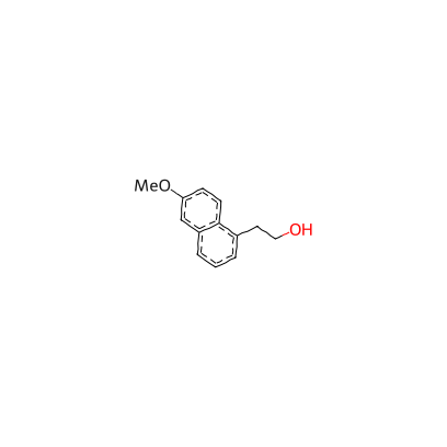 COc1ccc2c(CCO)cccc2c1